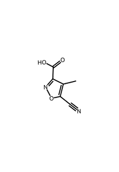 Cc1c(C(=O)O)noc1C#N